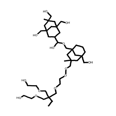 CCC(COCCO)(COCCO)COCCOOCC1(C)CC2(CO)CCCC(COC(O)C3CC4(CO)CC(C)(CO)CC(CO)(C3)C4)(C1)C2